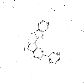 c1cnc(-c2cc3c(-c4nc5cnccc5[nH]4)n[nH]c3cn2)cn1